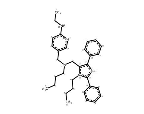 CCCCN(Cc1ccc(NCC)nc1)Cc1c(-c2ccccc2)nc(-c2ccccc2)n1CCCC